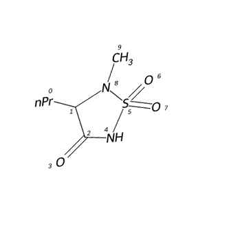 CCCC1C(=O)NS(=O)(=O)N1C